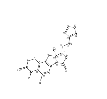 CN1C(=O)CCc2c3c(cc(F)c21)N1C(=O)O[C@@H](CNc2ccon2)[C@@H]1C3